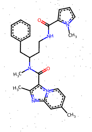 Cc1ccn2c(C(=O)N(C)C(CCNC(=O)c3cccn3C)Cc3ccccc3)c(C)nc2c1